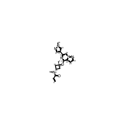 C=CC(=O)N(C)[C@H]1C[C@@](C)(Oc2nc(-c3cnn(C)c3)cn3nccc23)C1